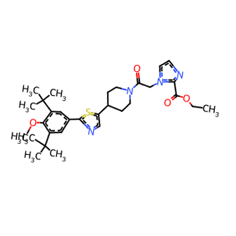 CCOC(=O)c1nccn1CC(=O)N1CCC(c2cnc(-c3cc(C(C)(C)C)c(OC)c(C(C)(C)C)c3)s2)CC1